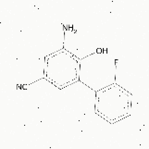 N#Cc1cc(N)c(O)c(-c2ccccc2F)c1